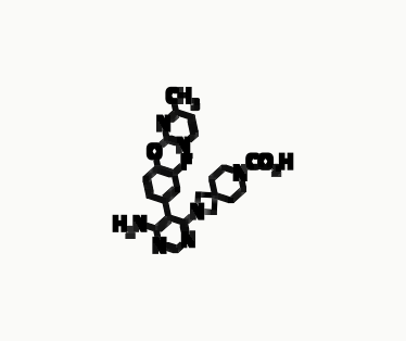 Cc1ccnc(Oc2ccc(-c3c(N)ncnc3N3CC4(CCN(C(=O)O)CC4)C3)cc2F)n1